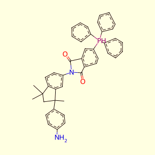 CC1(C)CC(C)(c2ccc(N)cc2)c2cc(N3C(=O)c4ccc([PH](c5ccccc5)(c5ccccc5)c5ccccc5)cc4C3=O)ccc21